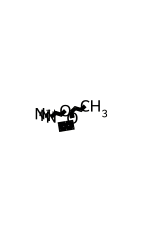 CCCC(=O)OCCN=[N+]=[N-].c1cc2ccc1-2